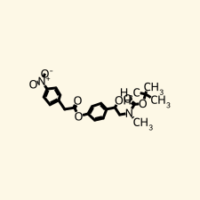 CN(CC(O)c1ccc(OC(=O)Cc2ccc([N+](=O)[O-])cc2)cc1)C(=O)OC(C)(C)C